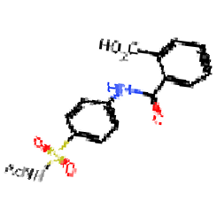 CC(=O)NS(=O)(=O)c1ccc(NC(=O)c2ccccc2C(=O)O)cc1